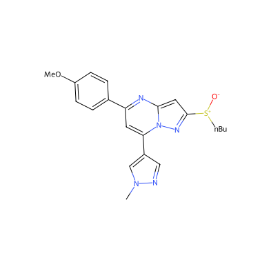 CCCC[S+]([O-])c1cc2nc(-c3ccc(OC)cc3)cc(-c3cnn(C)c3)n2n1